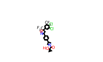 O=C(N1CC(c2ccc(C3=NOC(c4cc(Cl)c(Cl)c(C(F)(F)F)c4)(C(F)(F)F)C3)cc2)C1)C1(O)CC1